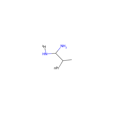 [2H]NC(N)C(C)CCC